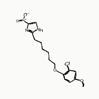 COc1ccc(OCCCCCCc2nc([N+](=O)[O-])c[nH]2)c(Cl)c1